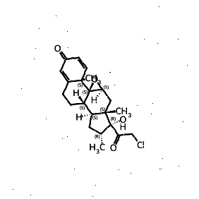 C[C@@H]1C[C@H]2[C@@H]3CCC4=CC(=O)C=C[C@]4(C)[C@@]34O[C@H]4C[C@]2(C)[C@@]1(O)C(=O)CCl